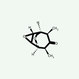 C[C@@H]1C(=O)[C@H](C)[C@H]2COC[C@@H]1C1O[C@@H]12